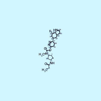 CCC(=O)N[C@H]1CC[C@@H](N(C)C(=O)Oc2ccc(-c3cc(F)c4[nH]ccc4c3)nn2)C1